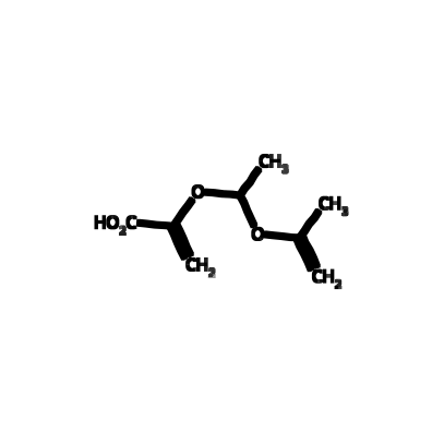 C=C(C)OC(C)OC(=C)C(=O)O